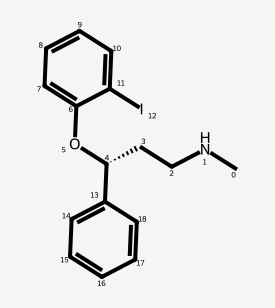 CNCC[C@@H](Oc1ccccc1I)c1ccccc1